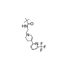 CC(C)(C)C(=O)NCCN1CC=C(c2cccc(C(F)(F)F)n2)CC1